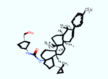 CC1([C@@H]2CC[C@]3(NC(=O)N[C@@H]4C=C[C@H](CO)C4)CC[C@]4(C)[C@H](CCC5[C@@]6(C)CC=C(c7ccc(C(=O)O)cc7)C(C)(C)[C@@H]6CC[C@]54C)C23)CC1